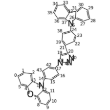 c1ccc2c(c1)Oc1ccccc1N2c1ccc(-n2cc(-c3ccc(-n4c5ccccc5c5ccccc54)cc3)nn2)cc1